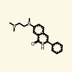 CN(C)CCN(C)c1ccc2cc(-c3ccccc3)[nH]c(=O)c2c1